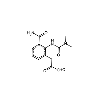 CN(C)C(=O)Nc1c(CC(=O)C=O)cccc1C(N)=O